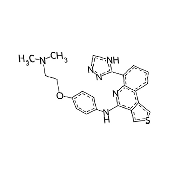 CN(C)CCOc1ccc(Nc2nc3c(-c4nnc[nH]4)cccc3c3cscc23)cc1